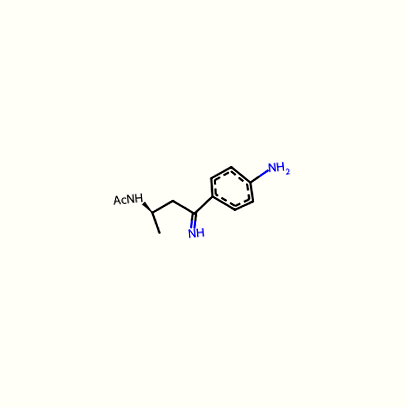 CC(=O)N[C@H](C)CC(=N)c1ccc(N)cc1